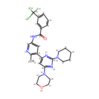 Cc1ncc(NC(=O)c2cccc(C(F)(F)F)c2)cc1-c1cc(N2CCOCC2)nc(N2CCCCC2)n1